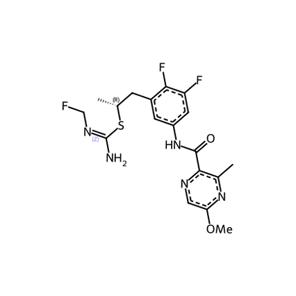 COc1cnc(C(=O)Nc2cc(F)c(F)c(C[C@@H](C)S/C(N)=N\CF)c2)c(C)n1